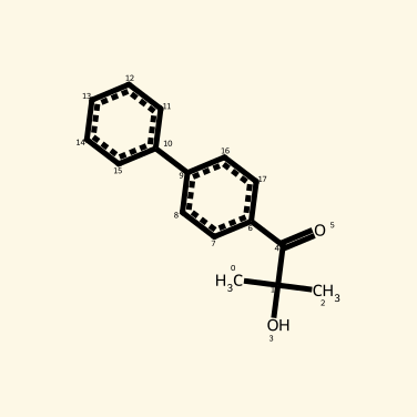 CC(C)(O)C(=O)c1ccc(-c2ccccc2)cc1